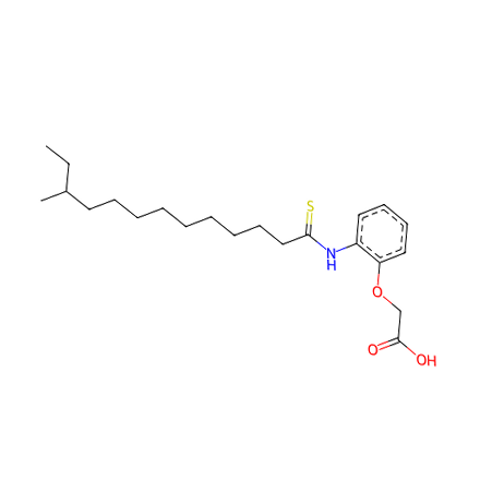 CCC(C)CCCCCCCCCC(=S)Nc1ccccc1OCC(=O)O